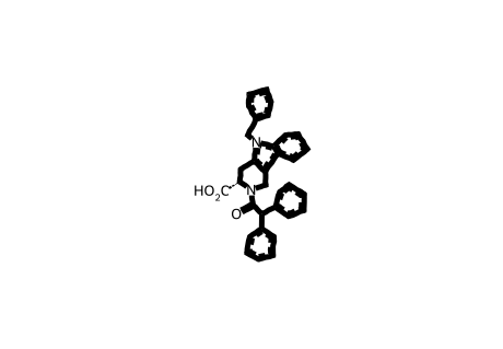 O=C(O)[C@@H]1Cc2c(c3ccccc3n2Cc2ccccc2)CN1C(=O)C(c1ccccc1)c1ccccc1